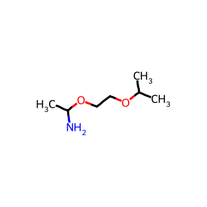 CC(C)OCCOC(C)N